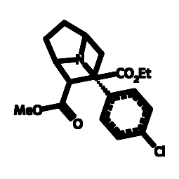 CCOC(=O)CN1C2CCC1C(C(=O)OC)[C@@H](c1ccc(Cl)cc1)C2